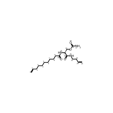 C=CCCCCCCCCC(=O)N[C@@H](COC(N)=O)C(=O)NCCC=C